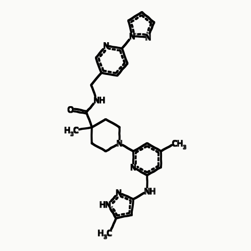 Cc1cc(Nc2cc(C)[nH]n2)nc(N2CCC(C)(C(=O)NCc3ccc(-n4cccn4)nc3)CC2)c1